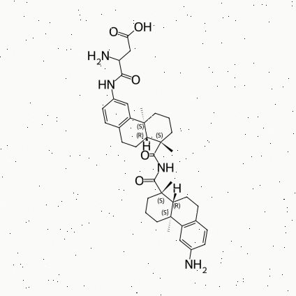 C[C@]1(C(=O)NC(=O)[C@@]2(C)CCC[C@]3(C)c4cc(NC(=O)C(N)CC(=O)O)ccc4CC[C@@H]23)CCC[C@]2(C)c3cc(N)ccc3CC[C@@H]12